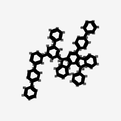 c1ccc(-c2ccc(-c3cccc(-c4nc(-c5ccccc5)nc(-n5c6ccccc6c6c5cc(-c5ccc(-c7ccccc7)cc5)c5c7ccccc7n(-c7ccccc7)c56)n4)c3)cc2)cc1